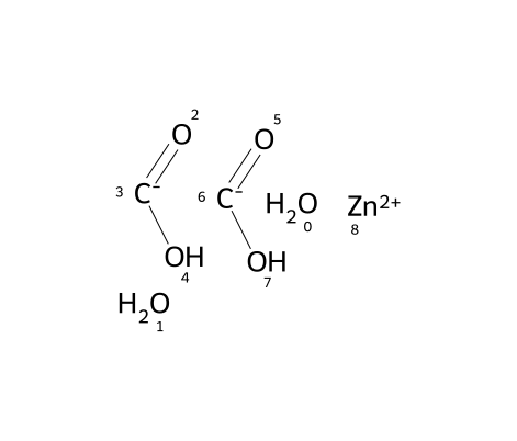 O.O.O=[C-]O.O=[C-]O.[Zn+2]